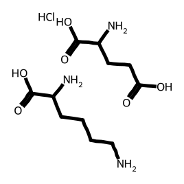 Cl.NC(CCC(=O)O)C(=O)O.NCCCCC(N)C(=O)O